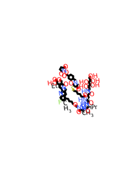 CC[C@@]1(O)C(=O)OCc2c1cc1n(c2=O)Cc2cc3c(CCCCOCNC(=O)[C@H](C)NC(=O)[C@@H](NC(=O)[C@H](CCC(=O)NC[C@H](O)[C@@H](O)[C@H](O)[C@H](O)CO)NC(=O)CCCCCSC4C(=O)CN(CC5CCC(C(=O)ON6C(=O)CCC6=O)CC5)C4=O)C(C)C)c(C)c(F)cc3nc2-1